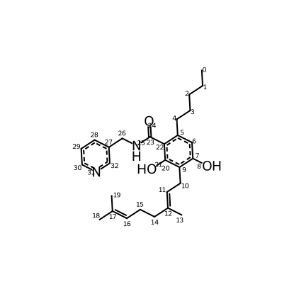 CCCCCc1cc(O)c(C/C=C(\C)CCC=C(C)C)c(O)c1C(=O)NCc1cccnc1